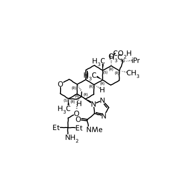 CCC(N)(CC)CO[C@H]1[C@H](n2ncnc2C(=O)NC)C[C@@]23COC[C@]1(C)[C@@H]2CC[C@H]1C3=CC[C@]2(C)[C@H](OC(=O)O)[C@@](C)([C@H](C)C(C)C)CC[C@]12C